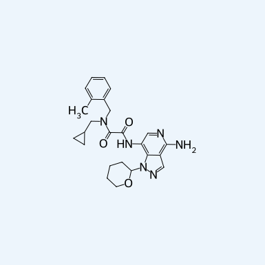 Cc1ccccc1CN(CC1CC1)C(=O)C(=O)Nc1cnc(N)c2cnn(C3CCCCO3)c12